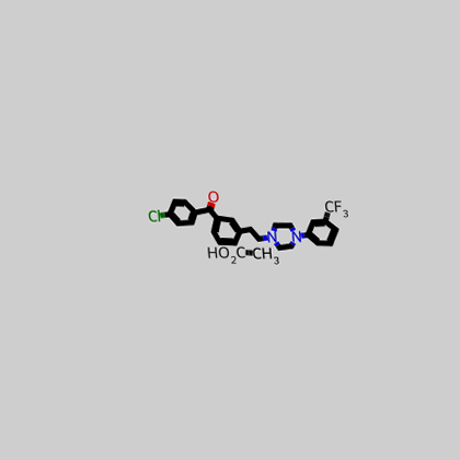 CC(=O)O.O=C(c1ccc(Cl)cc1)c1cccc(CCN2CCN(c3cccc(C(F)(F)F)c3)CC2)c1